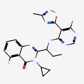 CCC(Nc1ncnc(N)c1-c1nc(C)no1)c1nc2cccc(F)c2c(=O)n1C1CC1